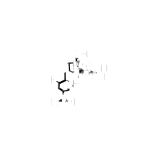 COC(=O)[C@H](Cc1ncc(B(O)O)cc1F)NC(=O)OC(C)(C)C